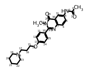 CC(=O)Nc1ccc2nc(-c3ccc(OCCCN4CCCCC4)cc3)n(C)c(=O)c2c1